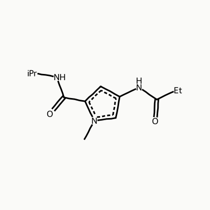 CCC(=O)Nc1cc(C(=O)NC(C)C)n(C)c1